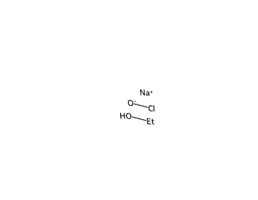 CCO.[Na+].[O-]Cl